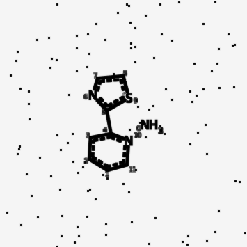 N.c1ccc(-c2nccs2)nc1